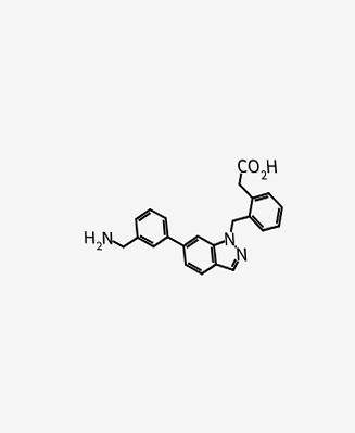 NCc1cccc(-c2ccc3cnn(Cc4ccccc4CC(=O)O)c3c2)c1